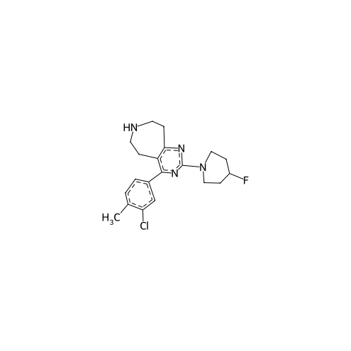 Cc1ccc(-c2nc(N3CCC(F)CC3)nc3c2CCNCC3)cc1Cl